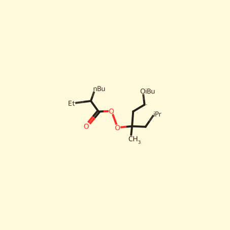 CCCCC(CC)C(=O)OOC(C)(C[CH]OCC(C)C)CC(C)C